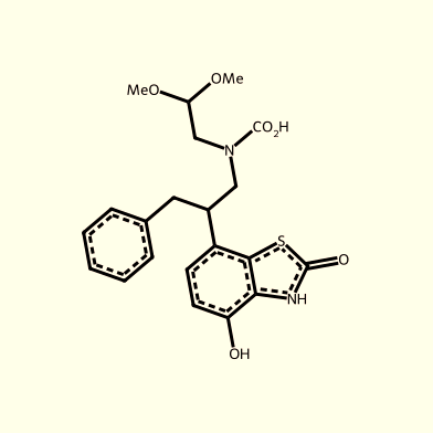 COC(CN(CC(Cc1ccccc1)c1ccc(O)c2[nH]c(=O)sc12)C(=O)O)OC